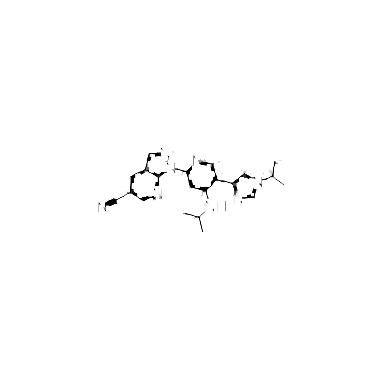 CC(C)Nc1cc(-n2ncc3cc(C#N)cnc32)ncc1-c1cn(C(C)C)cn1